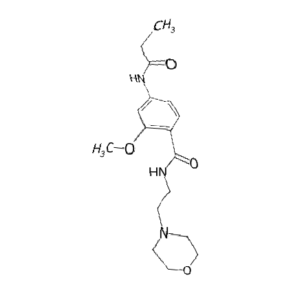 CCC(=O)Nc1ccc(C(=O)NCCN2CCOCC2)c(OC)c1